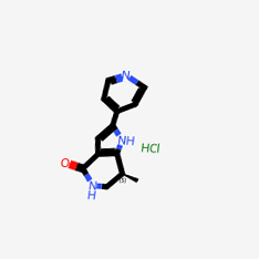 C[C@H]1CNC(=O)c2cc(-c3ccncc3)[nH]c21.Cl